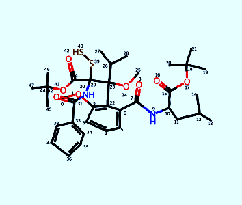 COc1cccc(C(=O)NC(CC(C)C)C(=O)OC(C)(C)C)c1C(OC)(C(C)C)C(NC(=O)c1ccccc1)(SS)C(=O)OC(C)(C)C